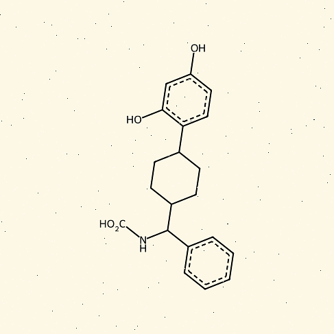 O=C(O)NC(c1ccccc1)C1CCC(c2ccc(O)cc2O)CC1